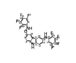 Fc1cc(NOc2ccc3[nH]c4ccc(Nc5cc(F)c(F)c(F)c5F)cc4c3c2)c(F)c(F)c1F